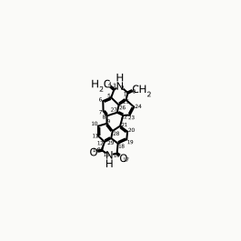 C=c1[nH]c(=C)c2ccc3c4ccc5c(=O)[nH]c(=O)c6ccc(c7ccc1c2c73)c4c65